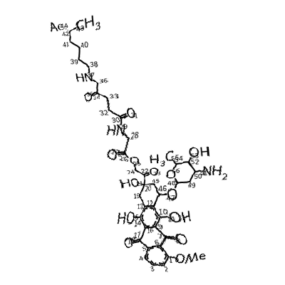 COc1cccc2c1C(=O)c1c(O)c3c(c(O)c1C2=O)CC(O)(C(=O)COC(=O)CNC(=O)CCC(=O)CNCCCC[C@@H](C)C(C)=O)C[C@H]3OC1CC(N)C(O)C(C)O1